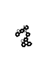 c1cc(-c2cc3oc4cccc5c6ccccc6c(c2)c3c45)cc(-n2c3cc4c(cc3c3ncccc32)oc2ccccc24)c1